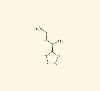 CC(CCN)C1CC=CC1